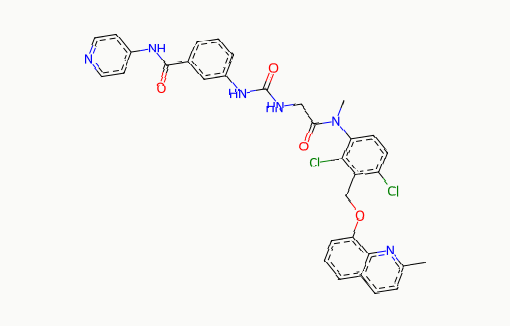 Cc1ccc2cccc(OCc3c(Cl)ccc(N(C)C(=O)CNC(=O)Nc4cccc(C(=O)Nc5ccncc5)c4)c3Cl)c2n1